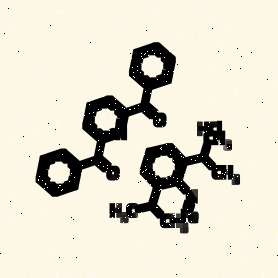 CC(C)c1cccc(C(C)C)c1[N]=[Fe].Cl.O=C(c1ccccc1)c1cccc(C(=O)c2ccccc2)n1